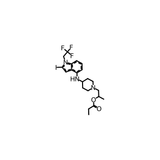 CCC(=O)OC(C)CN1CCC(Nc2cccc3c2cc(I)n3CC(F)(F)F)CC1